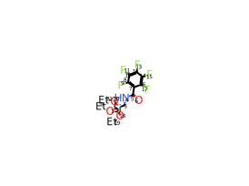 CCO[Si](CNC(=O)c1c(F)c(F)c(F)c(F)c1F)(OCC)OCC